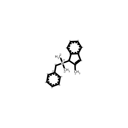 CC1=Cc2ccccc2C1[Si](C)(C)Cc1ccccc1